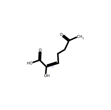 CC(=O)CC/C=C(/O)C(=O)O